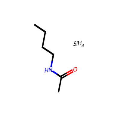 CCCCNC(C)=O.[SiH4]